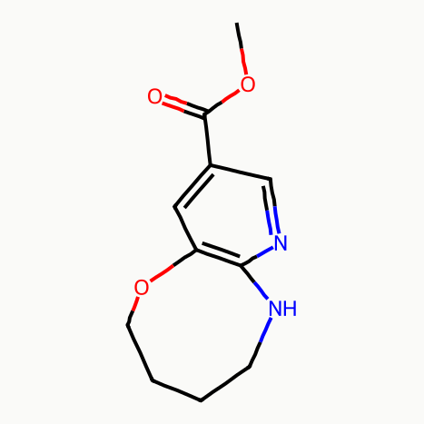 COC(=O)c1cnc2c(c1)OCCCCN2